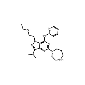 CCOCCn1nc(C(C)C)c2nc(N3CCCNCC3)nc(Nc3ccncn3)c21